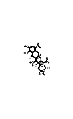 CC(=O)c1cc(N(C)C)c2c(c1O)C(=O)C1=C(O)[C@](O)(C(=O)CC(N)=O)[C@H]([C@@H](CO)N(C)C)C[C@@H]1C2